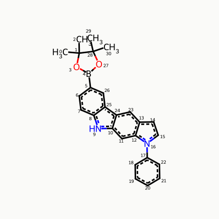 CC1(C)OB(c2ccc3[nH]c4cc5c(ccn5-c5ccccc5)cc4c3c2)OC1(C)C